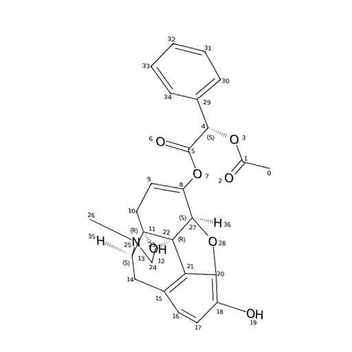 CC(=O)O[C@H](C(=O)OC1=CC[C@]2(O)[C@@H]3Cc4ccc(O)c5c4[C@]2(CCN3C)[C@@H]1O5)c1ccccc1